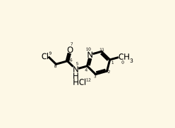 Cc1ccc(NC(=O)CCl)nc1.Cl